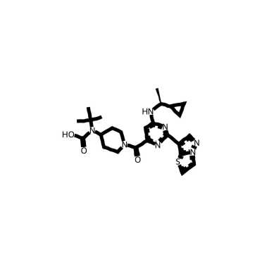 C[C@H](Nc1cc(C(=O)N2CCC(N(C(=O)O)C(C)(C)C)CC2)nc(-c2cnn3ccsc23)n1)C1CC1